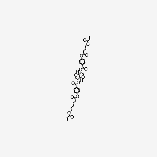 C=CC(=O)OCCCCCC(=O)Oc1ccc(C(=O)O[C@H]2CO[C@H]3[C@@H]2OC[C@H]3OC(=O)c2ccc(OC(=O)CCCOC(=O)C=C)cc2)cc1